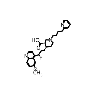 COc1ccc2nccc(C(F)CC[C@@H]3CCN(CCCCc4ccccn4)C[C@@H]3C(=O)O)c2c1